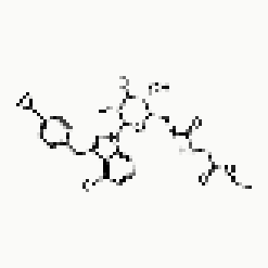 CCOC(=O)CNC(=O)NC[C@H]1O[C@@H](n2cc(Cc3ccc(C4CC4)cc3)c3c(Cl)cccc32)[C@H](O)[C@@H](O)[C@@H]1O